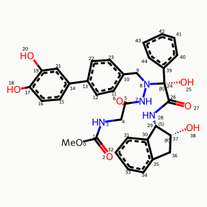 COC(=O)NCC(=O)NN(Cc1ccc(-c2ccc(O)c(O)c2)cc1)[C@](O)(C(=O)N[C@H]1c2ccccc2C[C@H]1O)c1ccccc1